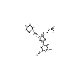 Cc1cc(C#N)cc(-n2cc(C#Cc3ccccn3)c(OCCN(C)C)n2)c1